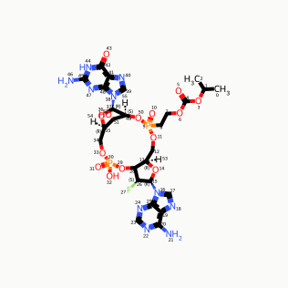 CC(C)OC(=O)OCCP1(=O)OC[C@H]2O[C@@H](n3cnc4c(N)ncnc43)[C@@H](F)C2OP(=O)(O)OC[C@H]2O[C@@H](n3cnc4c(=O)[nH]c(N)nc43)[C@@H](O1)C2O